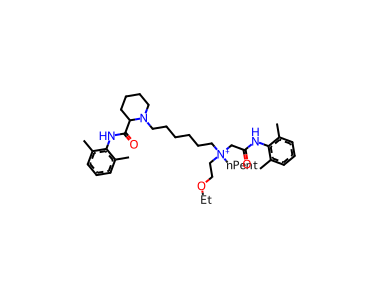 CCCCC[N+](CCCCCCN1CCCCC1C(=O)Nc1c(C)cccc1C)(CCOCC)CC(=O)Nc1c(C)cccc1C